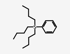 CCCCS(CCCC)(CCCC)c1ccccc1